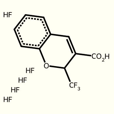 F.F.F.F.F.O=C(O)C1=Cc2ccccc2OC1C(F)(F)F